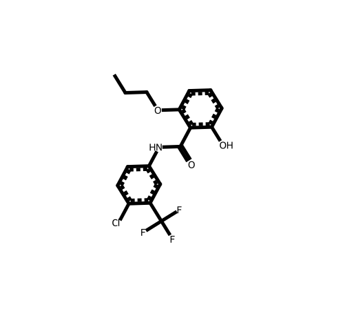 CCCOc1cccc(O)c1C(=O)Nc1ccc(Cl)c(C(F)(F)F)c1